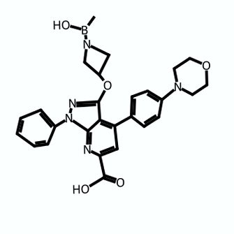 CB(O)N1CC(Oc2nn(-c3ccccc3)c3nc(C(=O)O)cc(-c4ccc(N5CCOCC5)cc4)c23)C1